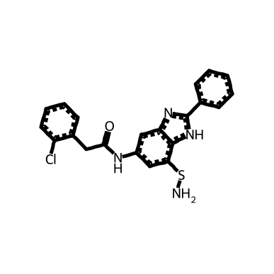 NSc1cc(NC(=O)Cc2ccccc2Cl)cc2nc(-c3ccccc3)[nH]c12